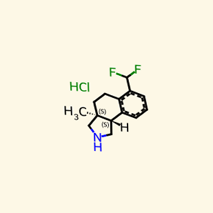 C[C@]12CCc3c(C(F)F)cccc3[C@@H]1CNC2.Cl